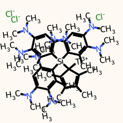 CC1=C(C)[C]([Ti+3])([Si](c2c(N(C)C)cc(N(C)C)c(N(C)C)c2C)(c2c(N(C)C)cc(N(C)C)c(N(C)C)c2C)c2c(N(C)C)cc(N(C)C)c(N(C)C)c2C)C(C)=C1C.[Cl-].[Cl-].[Cl-]